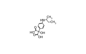 CCC(C)Nc1ccc(C(O)(C(=O)O)C(=O)O)cc1